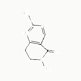 Cc1ncc2c(n1)CCN(C)C2=O